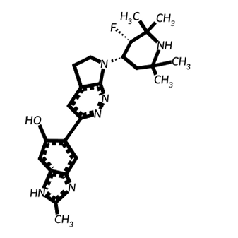 Cc1nc2cc(-c3cc4c(nn3)N([C@H]3CC(C)(C)NC(C)(C)[C@H]3F)CC4)c(O)cc2[nH]1